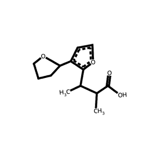 CC(C(=O)O)C(C)c1occc1C1CCCO1